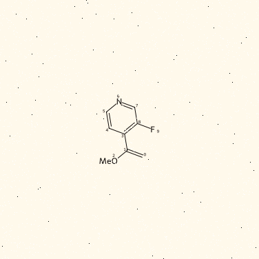 C=C(OC)c1ccncc1F